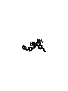 C/C=C/c1ccc2c(c1)nc(N)c1[nH]c(=O)n(Cc3ccc(CN4CCCC4)cc3)c12